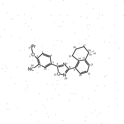 CC(C)Oc1ccc(-c2nc(-c3cccc4c3CCC[C@@H]4C)no2)cc1C#N